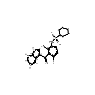 O=C(c1c(F)ccc(NS(=O)(=O)C2CCCCC2)c1F)c1c[nH]c2ncncc12